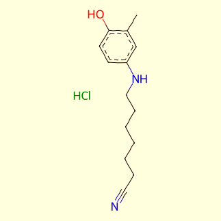 Cc1cc(NCCCCCCC#N)ccc1O.Cl